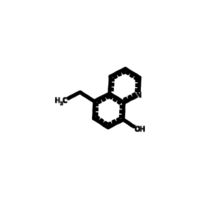 CCc1ccc(O)c2ncccc12